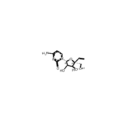 C=C[C@]1(CO)O[C@@H](n2ccc(N)nc2=O)C(O)C1O